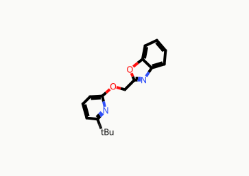 CC(C)(C)c1cccc(OCc2nc3ccccc3o2)n1